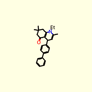 CCN1C(C)=CC(c2ccc(-c3ccccc3)cc2)C2=C1CC(C)(C)CC2=O